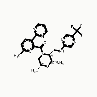 Cc1ccc(-c2ncccn2)c(C(=O)N2C[C@@H](C)O[C@@H](C)[C@H]2CNc2cnc(C(F)(F)F)cn2)n1